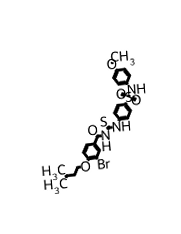 COc1ccc(NS(=O)(=O)c2ccc(NC(=S)NC(=O)c3ccc(OCCC(C)C)c(Br)c3)cc2)cc1